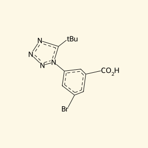 CC(C)(C)c1nnnn1-c1cc(Br)cc(C(=O)O)c1